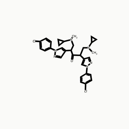 CN(CC(C(=O)C(CN(C)C1CC1)c1cnn(-c2ccc(Cl)cc2)c1)c1cnn(-c2ccc(Cl)cc2)c1)C1CC1